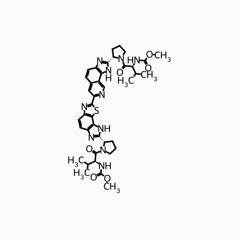 COC(=O)N[C@H](C(=O)N1CCC[C@H]1c1nc2ccc3cc(-c4nc5ccc6nc([C@@H]7CCCN7C(=O)[C@@H](NC(=O)OC)C(C)C)[nH]c6c5s4)ncc3c2[nH]1)C(C)C